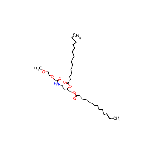 CCCCCCCCCCCCCC(=O)OCC(CCNC(=O)COCCOC)OC(=O)CCCCCCCCCCCCC